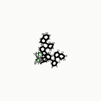 CC(C)CC1=Cc2c(-c3ccccc3-c3cccc4ccccc34)cccc2[CH]1[Hf]([Cl])([Cl])([CH]1C(CC(C)C)=Cc2c(-c3ccccc3-c3cccc4ccccc34)cccc21)[SiH](C)C